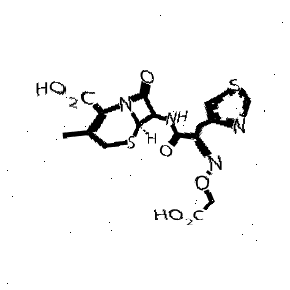 CC1=C(C(=O)O)N2C(=O)C(NC(=O)/C(=N\OCC(=O)O)c3cscn3)[C@H]2SC1